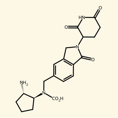 N[C@H]1CCC[C@@H]1N(Cc1ccc2c(c1)CN(C1CCC(=O)NC1=O)C2=O)C(=O)O